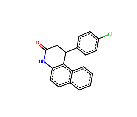 O=C1CC(c2ccc(Cl)cc2)c2c(ccc3ccccc23)N1